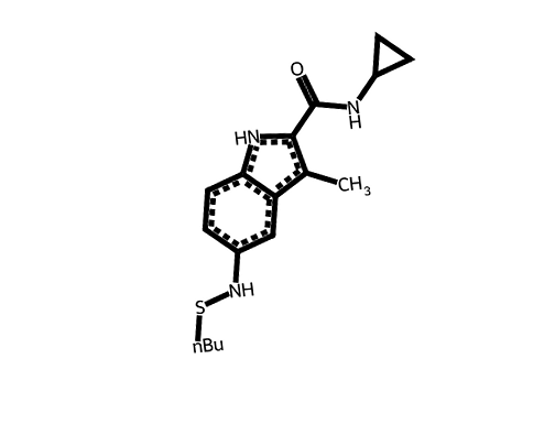 CCCCSNc1ccc2[nH]c(C(=O)NC3CC3)c(C)c2c1